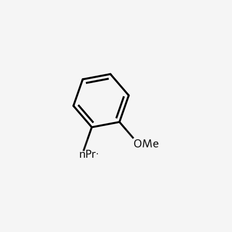 CC[CH]c1ccccc1OC